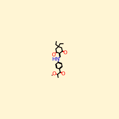 CCC1(CC)CC(=O)C(=CNc2ccc(C(=O)C(C)OC)cc2)C(=O)C1